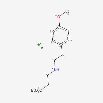 CCOC(=O)CCNCCc1ccc(OCC)cc1.Cl